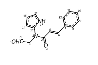 O=[C]CN(C(=O)C=Cc1ccccc1)c1ccc[nH]1